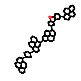 c1cc2ccc3ccc(-c4ccc(-c5ccc6cc(-c7cc8ccc9ccc(-c%10ccc%11oc%12ccc(-c%13ccc%14ccc%15cccc%16ccc%13c%14c%15%16)cc%12c%11c%10)c%10ccc(c7)c8c9%10)c7cccc8ccc5c6c87)cc4)c4ccc(c1)c2c34